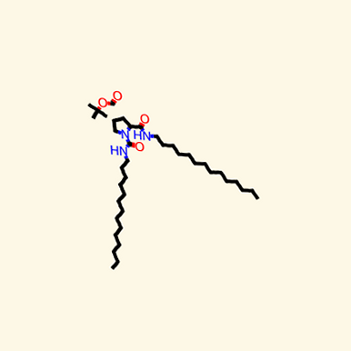 CC(C)(C)OC=O.CCCCCCCCCCCCCCNC(=O)C1CCCN1C(=O)NCCCCCCCCCCCCCC